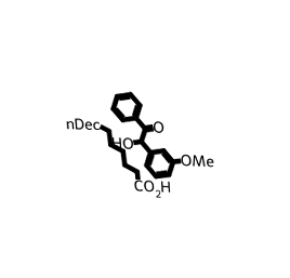 CCCCCCCCCCCCCCCC(=O)O.COc1cccc(C(O)C(=O)c2ccccc2)c1